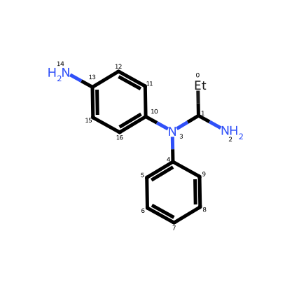 CCC(N)N(c1ccccc1)c1ccc(N)cc1